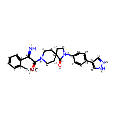 CNc1ccccc1C(=N)C(=O)N1CCC2(CC1)CCN(c1ccc(-c3cn[nH]c3)cc1)C2=O